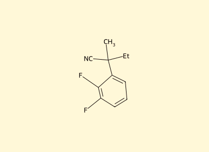 CCC(C)(C#N)c1cccc(F)c1F